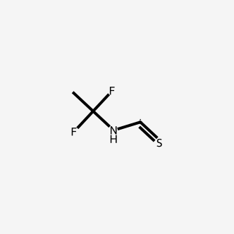 CC(F)(F)N[C]=S